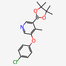 Cc1c(Oc2ccc(Cl)cc2)cncc1B1OC(C)(C)C(C)(C)O1